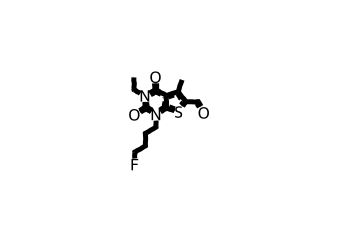 CCn1c(=O)c2c(C)c(C=O)sc2n(CCCCF)c1=O